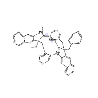 CCC1(Cc2ccccc2)/C(=C\C=C\C2=[N+](C)c3cc4ccccc4cc3C2(Cc2ccccc2)Cc2ccccc2)N(C)c2cc3ccccc3cc21